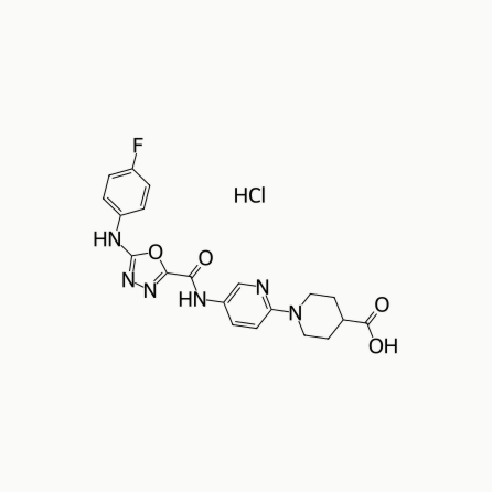 Cl.O=C(Nc1ccc(N2CCC(C(=O)O)CC2)nc1)c1nnc(Nc2ccc(F)cc2)o1